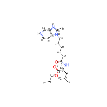 CCCOC(=O)[C@H](CC(C)C)NC(=O)CCCCCn1c(C)nc2cnccc21